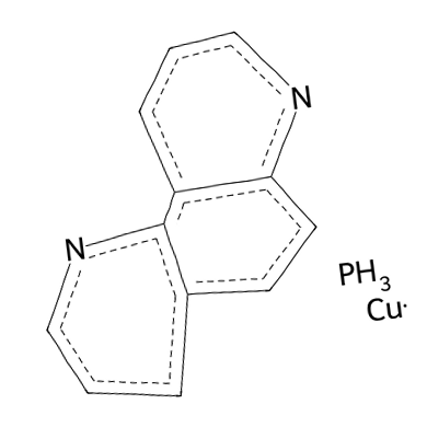 P.[Cu].c1cnc2c(c1)ccc1ncccc12